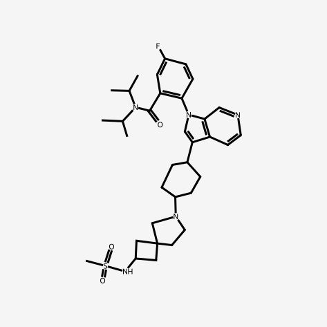 CC(C)N(C(=O)c1cc(F)ccc1-n1cc(C2CCC(N3CCC4(CC(NS(C)(=O)=O)C4)C3)CC2)c2ccncc21)C(C)C